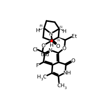 CCC(Oc1nc(Cl)c(F)c2c(C)c(C)[nH]c(=O)c12)[C@H]1NC[C@H]2CC[C@@H]1N2C(=O)OC(C)(C)C